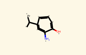 CC(C)C(C)C1=C=C(N)C(O)=CC=C1